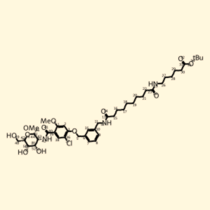 COc1cc(OCc2cccc(CNC(=O)CCCCCCCCC(=O)NCCCCCC(=O)OC(C)(C)C)c2)c(Cl)cc1C(=O)N[C@H]1[C@@H](OC)O[C@H](CO)[C@@H](O)[C@@H]1O